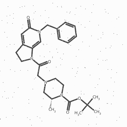 C[C@@H]1CN(CC(=O)N2CCc3cc(=O)n(Cc4ccccc4)cc32)CCN1C(=O)OC(C)(C)C